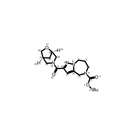 CC(C)(C)OC(=O)N1CCCn2nc(C(=O)N3C[C@H]4CO[C@H](C4)C3)cc2C1